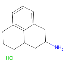 Cl.NC1Cc2cccc3c2C(CCC3)C1